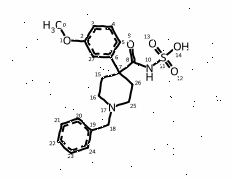 COc1cccc(C2(C(=O)NS(=O)(=O)O)CCN(Cc3ccccc3)CC2)c1